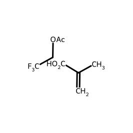 C=C(C)C(=O)O.CC(=O)OCC(F)(F)F